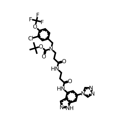 CC(C)(C)OC(=O)N(CCC(=O)NCCC(=O)Nc1cc(-n2cnnc2)cc2[nH]ncc12)Cc1ccc(OC(F)(F)F)c(Cl)c1